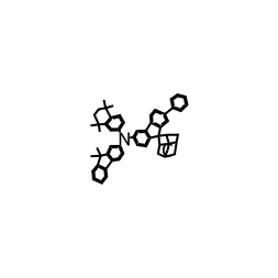 CC1(C)CCC(C)(C)c2cc(N(c3ccc4c(c3)-c3ccc(-c5ccccc5)cc3C43C4CC5CC6CC3C64C5)c3ccc4c(c3)C(C)(C)c3ccccc3-4)ccc21